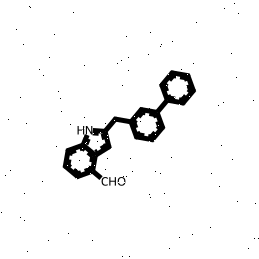 O=Cc1cccc2[nH]c(Cc3cccc(-c4ccccc4)c3)cc12